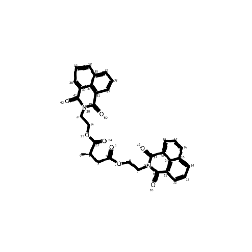 C[C@H](CC(=O)OCCN1C(=O)c2cccc3cccc(c23)C1=O)C(=O)OCCN1C(=O)c2cccc3cccc(c23)C1=O